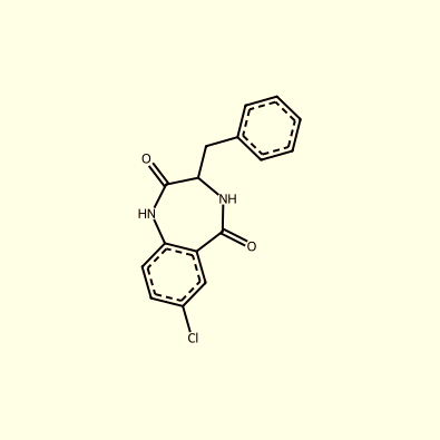 O=C1NC(Cc2ccccc2)C(=O)Nc2ccc(Cl)cc21